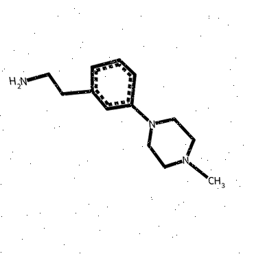 CN1CCN(c2cccc(CCN)c2)CC1